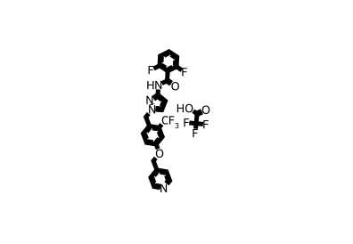 O=C(Nc1ccn(Cc2ccc(OCc3ccncc3)cc2C(F)(F)F)n1)c1c(F)cccc1F.O=C(O)C(F)(F)F